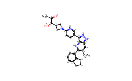 CNC(=O)C(O)C1CN(c2ccc(-c3n[nH]c4cc(OC)c(-c5cccc6c5CCC6)nc34)cn2)C1